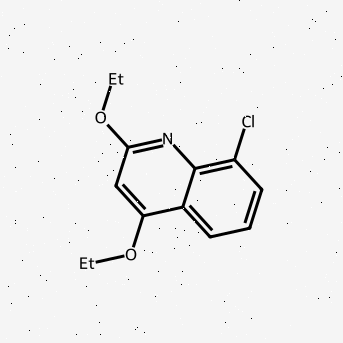 CCOc1cc(OCC)c2cccc(Cl)c2n1